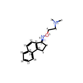 CN(C)CCO/N=C1\CCc2c1ccc1ccccc21